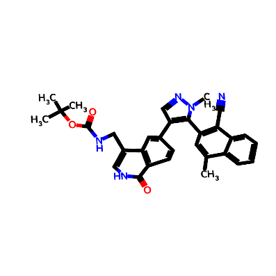 Cc1cc(-c2c(-c3ccc4c(=O)[nH]cc(CNC(=O)OC(C)(C)C)c4c3)cnn2C)c(C#N)c2ccccc12